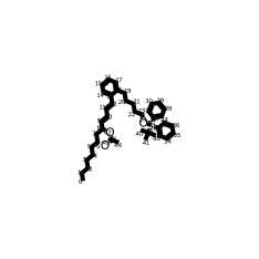 CCCCCCCCC(/C=C/C=C/c1ccccc1CCCCCO[Si](c1ccccc1)(c1ccccc1)C(C)(C)C)OC(C)=O